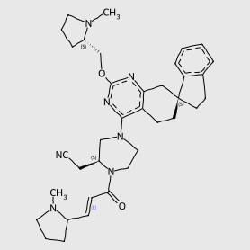 CN1CCCC1/C=C/C(=O)N1CCN(c2nc(OC[C@@H]3CCCN3C)nc3c2CC[C@@]2(CCc4ccccc42)C3)C[C@@H]1CC#N